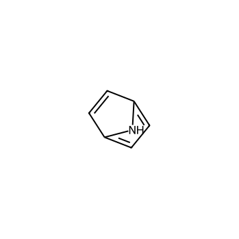 c1cc2ccc1[nH]2